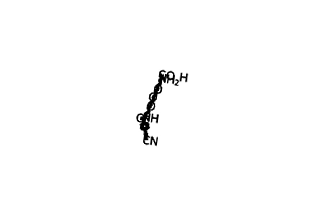 N#CC#Cc1ccc(C(=O)NCCCOCCOCCOCCCNC(=O)O)cc1